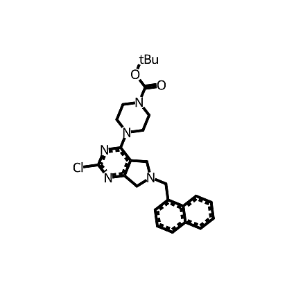 CC(C)(C)OC(=O)N1CCN(c2nc(Cl)nc3c2CN(Cc2cccc4ccccc24)C3)CC1